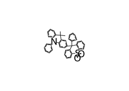 CC1(C)c2ccccc2N(c2ccccc2)c2ccc(C3(c4ccccc4)c4ccccc4S(=O)(=O)c4ccccc43)cc21